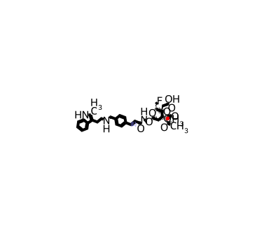 CC(=O)O[C@H]1C[C@H](ONC(=O)/C=C/c2ccc(CNCCc3c(C)[nH]c4ccccc34)cc2)O[C@H](CF)[C@]1(CC(=O)O)OC(C)=O